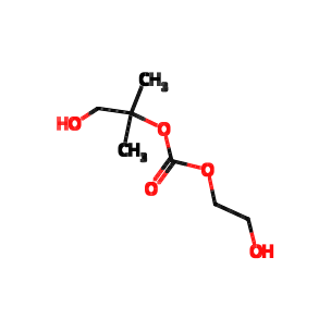 CC(C)(CO)OC(=O)OCCO